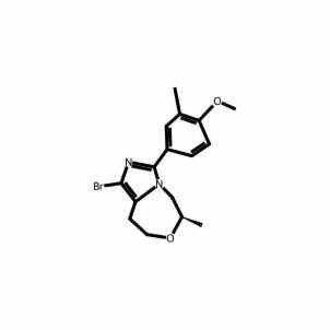 COc1ccc(-c2nc(Br)c3n2C[C@@H](C)OCC3)cc1C